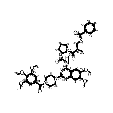 COc1cc2nc(N3CCN(C(=O)c4cc(OC)c(OC)c(OC)c4)CC3)nc(NC(=O)[C@@H]3CCCN3C(=O)C(C)CSC(=O)c3ccccc3)c2cc1OC